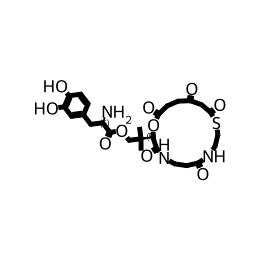 CC(C)(COC(=O)[C@@H](N)Cc1ccc(O)c(O)c1)[C@H]1OC(=O)CCC(=O)CC(=O)SCCNC(=O)CCNC1=O